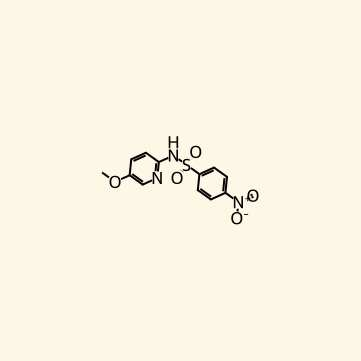 COc1ccc(NS(=O)(=O)c2ccc([N+](=O)[O-])cc2)nc1